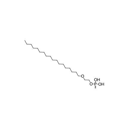 C=P(O)(O)OCCOCCCCCCCCCCCCCCCCCC